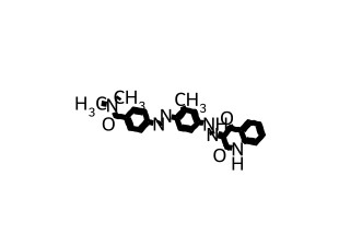 Cc1cc(NN=C2C(=O)Nc3ccccc3C2=O)ccc1N=Nc1ccc(C(=O)N(C)C)cc1